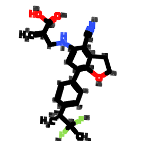 C=C(CNc1cc(-c2ccc([C@@H](C)C(C)(F)F)cc2)c2c(c1C#N)CCO2)C(=O)O